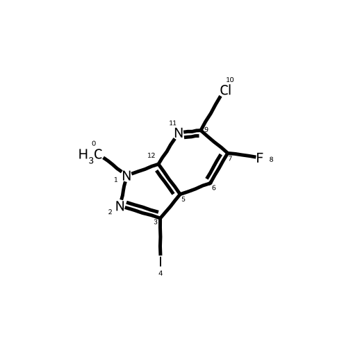 Cn1nc(I)c2cc(F)c(Cl)nc21